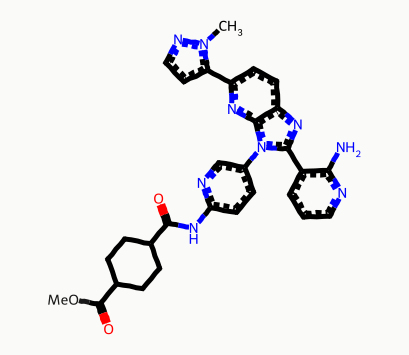 COC(=O)C1CCC(C(=O)Nc2ccc(-n3c(-c4cccnc4N)nc4ccc(-c5ccnn5C)nc43)cn2)CC1